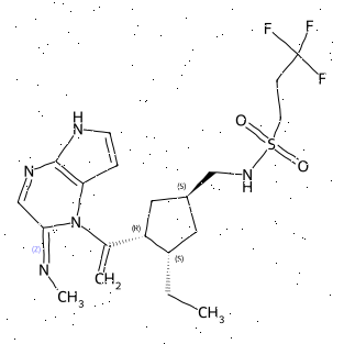 C=C([C@@H]1C[C@@H](CNS(=O)(=O)CCC(F)(F)F)C[C@@H]1CC)n1/c(=N\C)cnc2[nH]ccc21